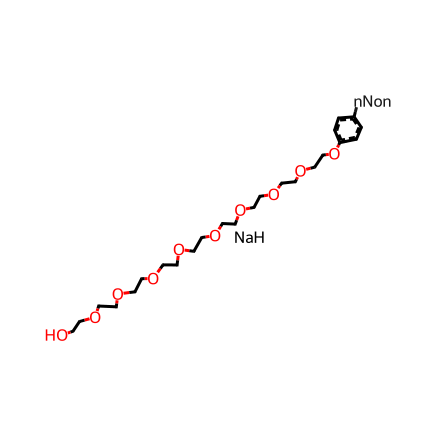 CCCCCCCCCc1ccc(OCCOCCOCCOCCOCCOCCOCCOCCOCCO)cc1.[NaH]